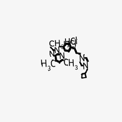 CCc1nc2c(C)cc(C)nc2n1Cc1ccc(C=CCN2CCN(CC3CCC3)CC2)cc1.Cl.Cl